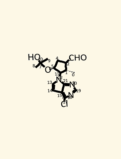 C[C@H]1C(C=O)C[C@@H](OC(C)(C)O)C1n1ccc2c(Cl)ncnc21